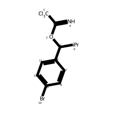 CC(C)C(OC(=N)C(Cl)(Cl)Cl)c1ccc(Br)cc1